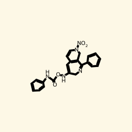 O=C(Nc1ccccc1)ONC1=CC2=C(CN([N+](=O)[O-])C=C2)C(c2ccccc2)=NC1